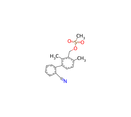 Cc1ccc(-c2ccccc2C#N)c(C)c1COS(C)(=O)=O